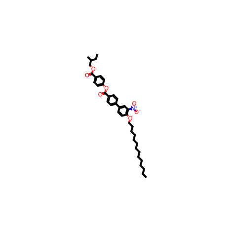 CCCCCCCCCCCCCCOc1ccc(-c2ccc(C(=O)Oc3ccc(C(=O)OCC(C)CC)cc3)cc2)cc1[N+](=O)[O-]